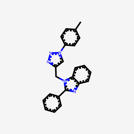 Cc1ccc(-n2cc(Cn3c(-c4ccccc4)nc4ccccc43)nn2)cc1